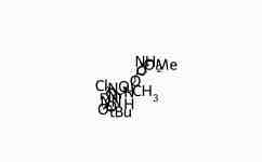 COc1ccc(COCC(C)NC(=O)c2cnn3c4c(c(Cl)nc23)CCN4C(=O)OC(C)(C)C)cc1N